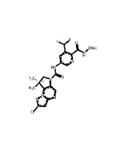 CONC(=O)c1ncc(NC(=O)N2C[C@@](C)(C(F)(F)F)c3c2cnc2cc(Cl)nn32)cc1C(F)F